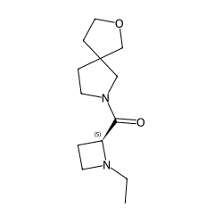 CCN1CC[C@H]1C(=O)N1CCC2(CCOC2)C1